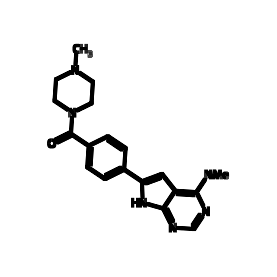 CNc1ncnc2[nH]c(-c3ccc(C(=O)N4CCN(C)CC4)cc3)cc12